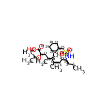 CC/C=C(/C/C=C(C)\C(C)=C(/C)CC(OC(C)C)C(=O)O)NS(=O)(=O)CC1CCCCC1